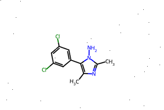 Cc1nc(C)n(N)c1-c1cc(Cl)cc(Cl)c1